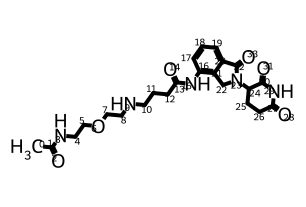 CC(=O)NCCOCCNCCCC(=O)Nc1cccc2c1CN(C1CCC(=O)NC1=O)C2=O